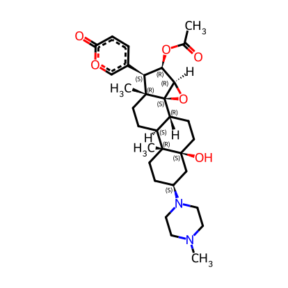 CC(=O)O[C@H]1[C@H]2O[C@]23[C@@H]2CC[C@]4(O)C[C@@H](N5CCN(C)CC5)CC[C@]4(C)[C@H]2CC[C@]3(C)[C@H]1c1ccc(=O)oc1